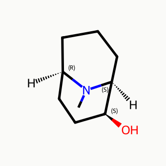 CN1[C@@H]2CCC[C@H]1[C@@H](O)CC2